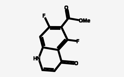 COC(=O)c1c(F)cc2[nH]ccc(=O)c2c1F